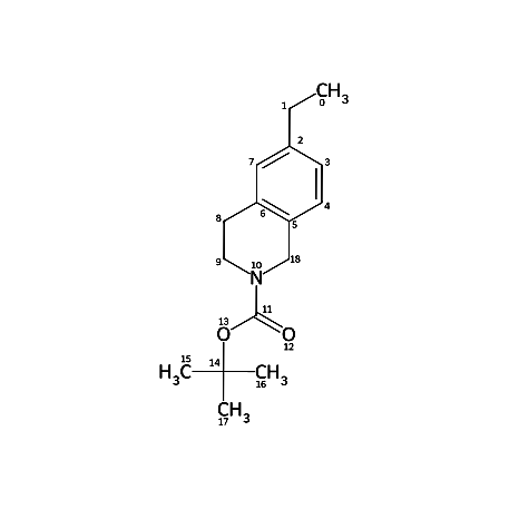 CCc1ccc2c(c1)CCN(C(=O)OC(C)(C)C)C2